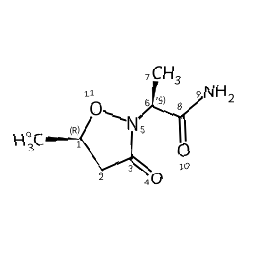 C[C@@H]1CC(=O)N([C@@H](C)C(N)=O)O1